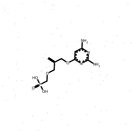 C=C(COCP(=O)(O)O)COc1cc(N)nc(N)n1